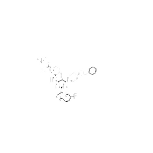 N#CCC(=O)N1CCC[C@@H](Nc2nc(-c3cnc4ccc(F)cn34)nc(N3CCC(OCc4ccccc4)CC3)c2F)C1